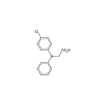 O=C(O)CN(c1ccccc1)c1ccc(Cl)cc1